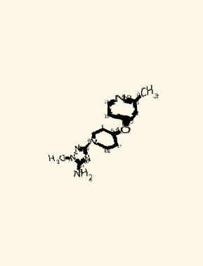 Cc1cc(OC2CCN(c3nc(N)n(C)n3)CC2)ccn1